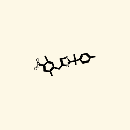 Cc1ccc(C(C)(C)c2nc(Cc3cc(C)c([N+](=O)[O-])cc3C)cs2)cc1